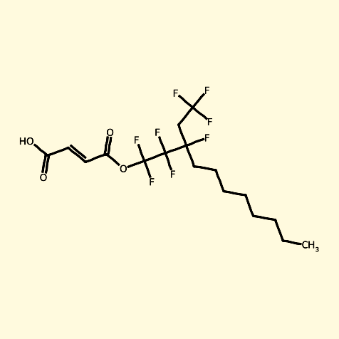 CCCCCCCCC(F)(CC(F)(F)F)C(F)(F)C(F)(F)OC(=O)C=CC(=O)O